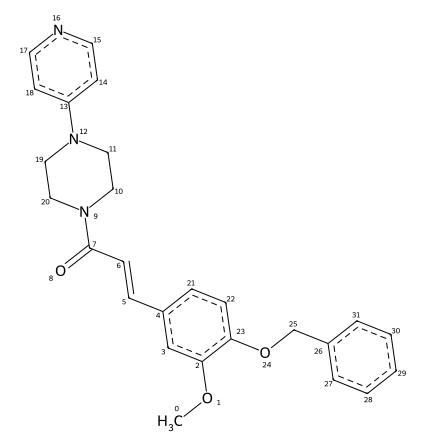 COc1cc(C=CC(=O)N2CCN(c3ccncc3)CC2)ccc1OCc1ccccc1